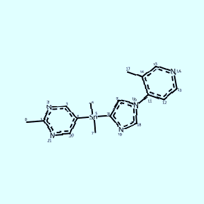 Cc1nc[c]([Sn]([CH3])([CH3])[c]2cn(-c3ccncc3C)cn2)cn1